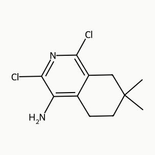 CC1(C)CCc2c(N)c(Cl)nc(Cl)c2C1